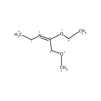 CC/N=C(\COC)OCC